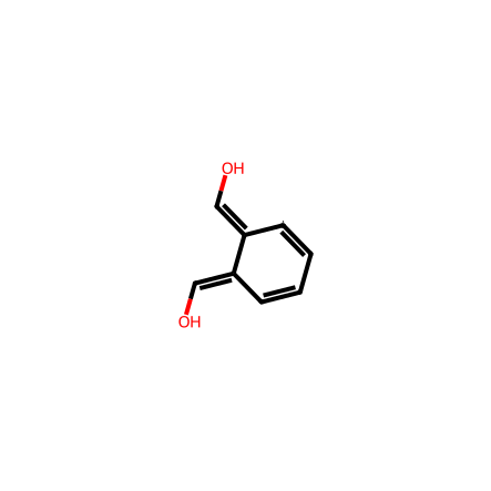 OC=c1[c]cccc1=CO